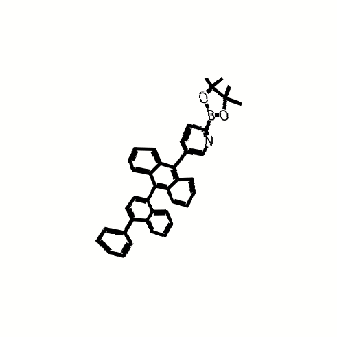 CC1(C)OB(c2ccc(-c3c4ccccc4c(-c4ccc(-c5ccccc5)c5ccccc45)c4ccccc34)cn2)OC1(C)C